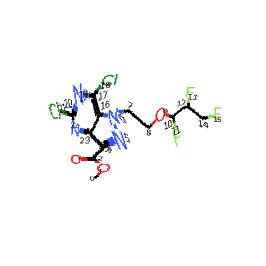 COC(=O)c1nn(CCOC(F)C(F)CF)c2c(Cl)nc(Cl)nc12